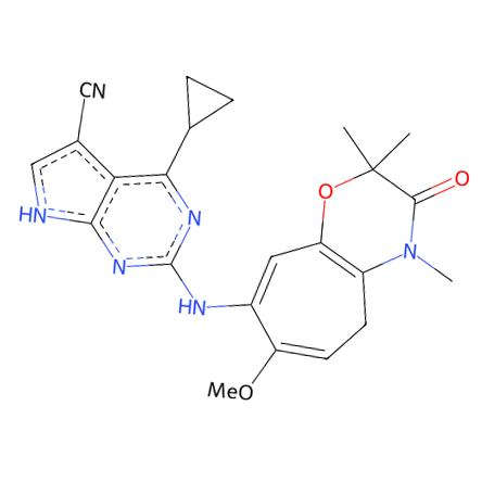 COC1=CCC2=C(C=C1Nc1nc(C3CC3)c3c(C#N)c[nH]c3n1)OC(C)(C)C(=O)N2C